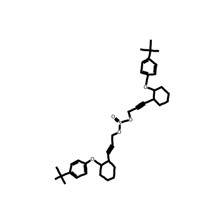 CC(C)(C)c1ccc(OC2CCCCC2C#CCOS(=O)OCC#CC2CCCCC2Oc2ccc(C(C)(C)C)cc2)cc1